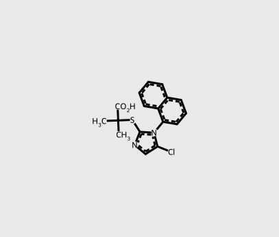 CC(C)(Sc1ncc(Cl)n1-c1cccc2ccccc12)C(=O)O